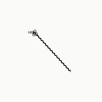 O=P(O)(O)OCCCCCCCCCCCCCCCCCCCCCCCCCCCCCI